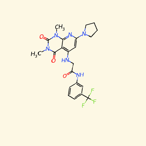 Cn1c(=O)c2c(NCC(=O)Nc3cccc(C(F)(F)F)c3)cc(N3CCCC3)nc2n(C)c1=O